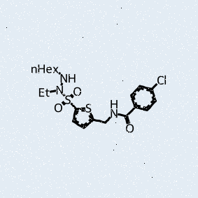 CCCCCCNN(CC)S(=O)(=O)c1ccc(CNC(=O)c2ccc(Cl)cc2)s1